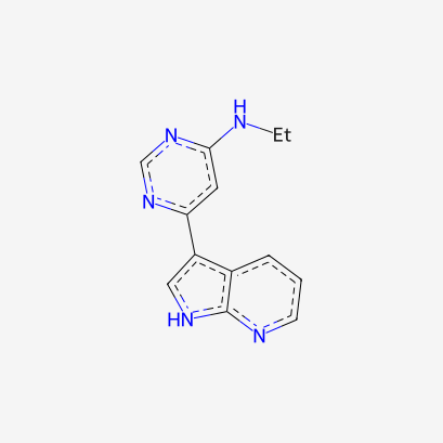 CCNc1cc(-c2c[nH]c3ncccc23)ncn1